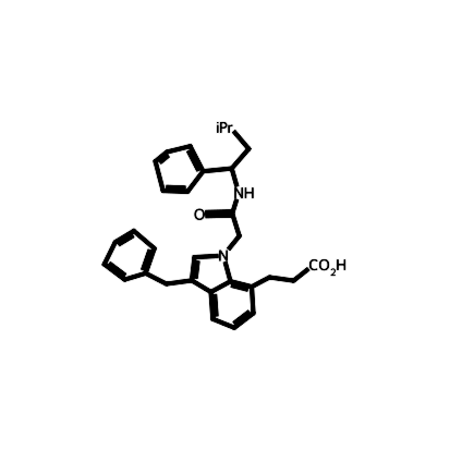 CC(C)CC(NC(=O)Cn1cc(Cc2ccccc2)c2cccc(CCC(=O)O)c21)c1ccccc1